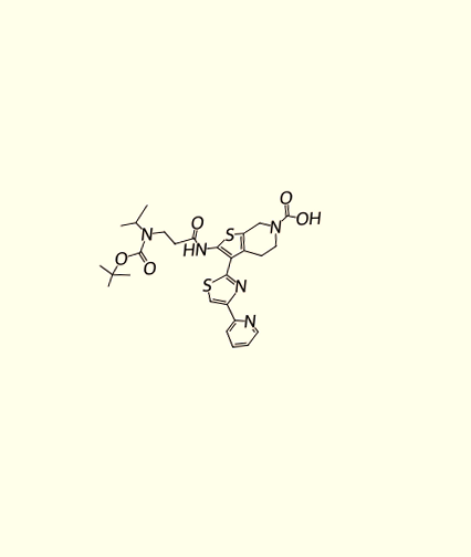 CC(C)N(CCC(=O)Nc1sc2c(c1-c1nc(-c3ccccn3)cs1)CCN(C(=O)O)C2)C(=O)OC(C)(C)C